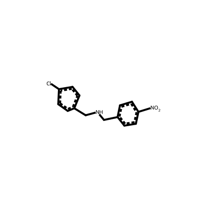 O=[N+]([O-])c1ccc(CNCc2ccc(Cl)cc2)cc1